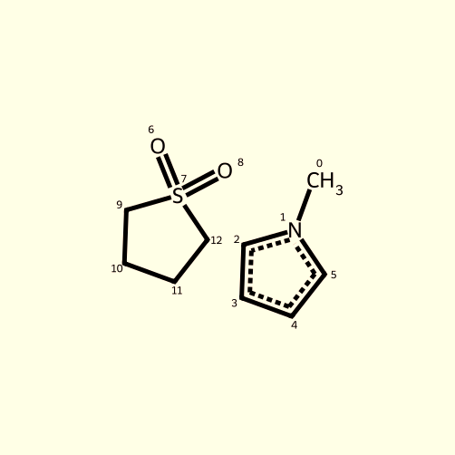 Cn1cccc1.O=S1(=O)CCCC1